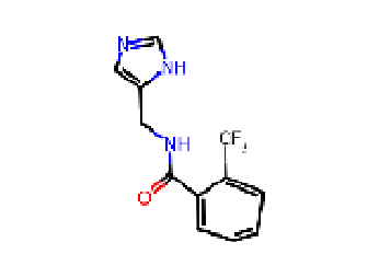 O=C(NCc1cnc[nH]1)c1ccccc1C(F)(F)F